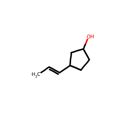 [CH2]C=CC1CCC(O)C1